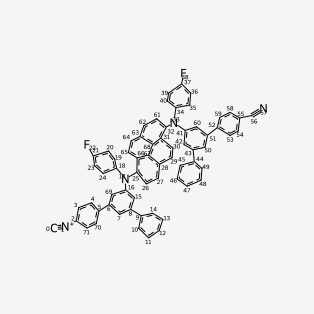 [C-]#[N+]c1ccc(-c2cc(-c3ccccc3)cc(N(c3ccc(F)cc3)c3ccc4ccc5c(N(c6ccc(F)cc6)c6cc(-c7ccccc7)cc(-c7ccc(C#N)cc7)c6)ccc6ccc3c4c65)c2)cc1